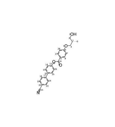 C[C@@H](CO)COc1ccc(C(=O)Oc2ccc(-c3ccc(C#N)cc3)cc2)cc1